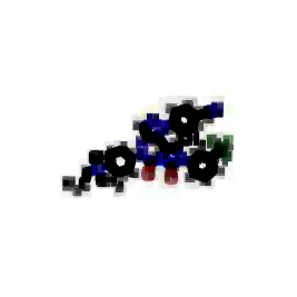 CC[N+](C)(C)[C@H]1CC[C@H](NC(=O)n2c(-c3ccnn3-c3ccc(C#N)cc3)c(C)n(-c3cccc(C(F)(F)F)c3)c2=O)CC1